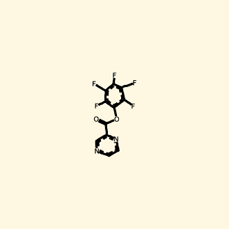 O=C(Oc1c(F)c(F)c(F)c(F)c1F)c1cnccn1